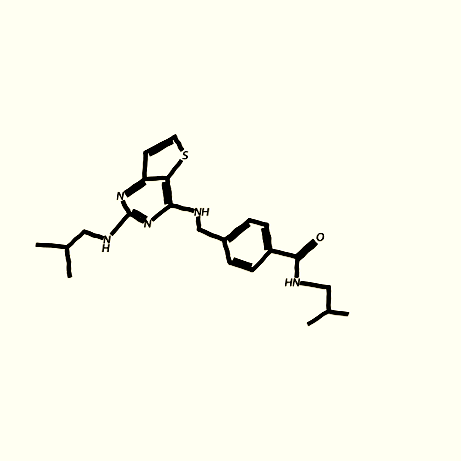 CC(C)CNC(=O)c1ccc(CNc2nc(NCC(C)C)nc3ccsc23)cc1